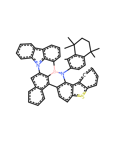 Cc1c(N2B3c4c(cc5ccccc5c4-c4ccc5sc6ccccc6c5c42)-n2c4ccccc4c4cccc3c42)ccc2c1C(C)(C)CCC2(C)C